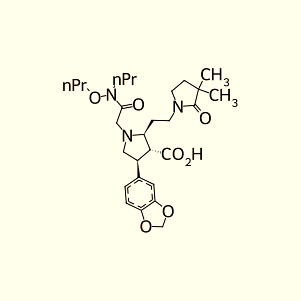 CCCON(CCC)C(=O)CN1C[C@H](c2ccc3c(c2)OCO3)[C@@H](C(=O)O)[C@@H]1CCN1CCC(C)(C)C1=O